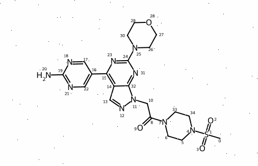 CS(=O)(=O)N1CCN(C(=O)Cn2ncc3c(-c4cnc(N)nc4)nc(N4CCOCC4)nc32)CC1